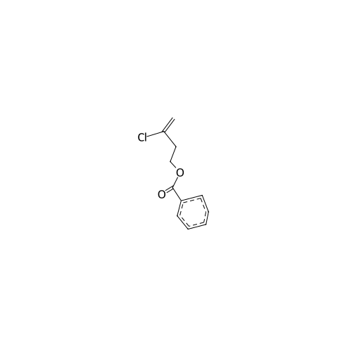 C=C(Cl)CCOC(=O)c1ccccc1